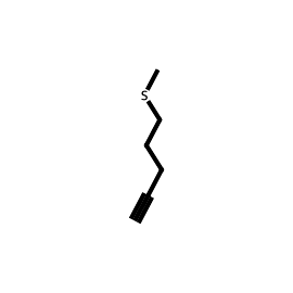 C#CCCCSC